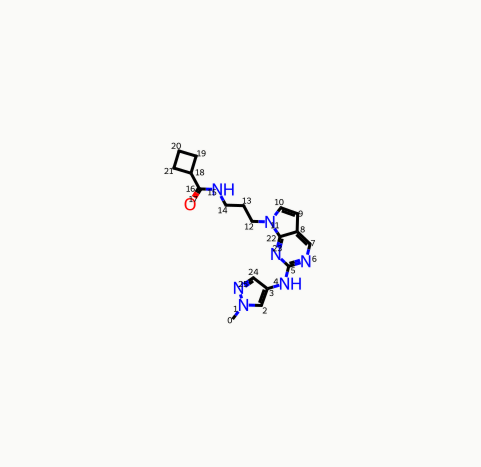 Cn1cc(Nc2ncc3ccn(CCCNC(=O)C4CCC4)c3n2)cn1